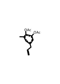 C=CCc1cc(C)c(OC(C)=O)c(OC(C)=O)c1